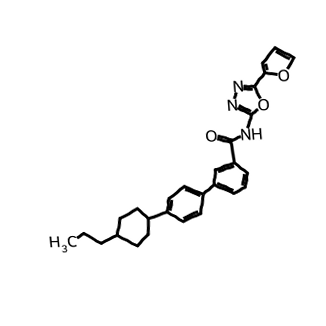 CCCC1CCC(c2ccc(-c3cccc(C(=O)Nc4nnc(-c5ccco5)o4)c3)cc2)CC1